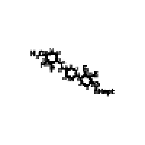 CCCCCCCOc1ccc(-c2ccc(CCc3ccc(C)c(F)c3F)cn2)c(F)c1F